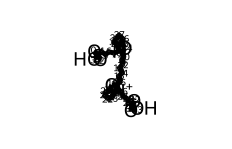 O=S(=O)(O)CCCCN1\C(=C/C=C/C=C/C=C/c2oc3ccccc3[n+]2CCCCS(=O)(=O)O)Oc2ccccc21